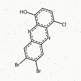 Oc1ccc(Cl)c2nc3cc(Br)c(Br)cc3nc12